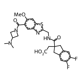 COc1cc2sc(CNC(=O)C3(CC(=O)O)Cc4cc(F)c(F)cc4C3)nc2cc1C(=O)N1CC(N(C)C)C1